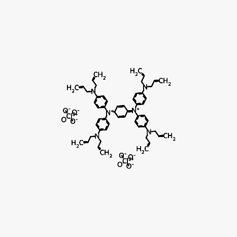 C=CCN(CC=C)c1ccc([N+](=C2C=CC(=[N+](c3ccc(N(CC=C)CC=C)cc3)c3ccc(N(CC=C)CC=C)cc3)C=C2)c2ccc(N(CC=C)CC=C)cc2)cc1.[O-][Cl+3]([O-])([O-])[O-].[O-][Cl+3]([O-])([O-])[O-]